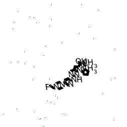 CN(C)C(O)c1cc2cnc(Nc3ccc(N4CCN(CCF)CC4)cn3)nc2n1C1CCCC1